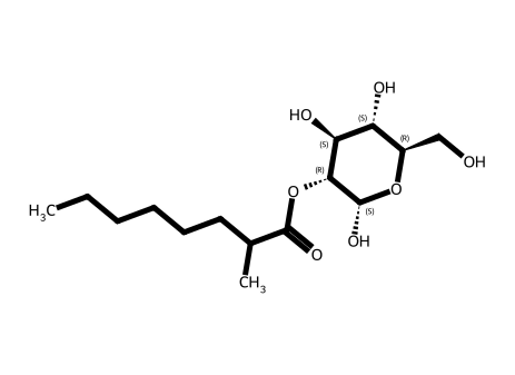 CCCCCCC(C)C(=O)O[C@@H]1[C@@H](O)[C@H](O)[C@@H](CO)O[C@@H]1O